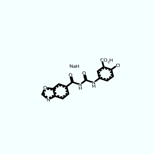 O=C(NC(=O)c1ccc2ncoc2c1)Nc1ccc(Cl)c(C(=O)O)c1.[NaH]